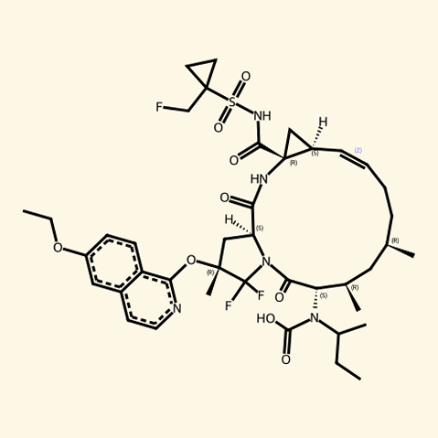 CCOc1ccc2c(O[C@]3(C)C[C@H]4C(=O)N[C@]5(C(=O)NS(=O)(=O)C6(CF)CC6)C[C@H]5/C=C\CC[C@@H](C)C[C@@H](C)[C@H](N(C(=O)O)C(C)CC)C(=O)N4C3(F)F)nccc2c1